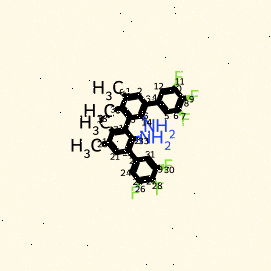 Cc1cc(-c2cc(F)c(F)c(F)c2)c(N)c(-c2c(C)c(C)cc(-c3cc(F)c(F)c(F)c3)c2N)c1C